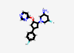 NC1CC(F)CN(C2CC(c3ccc(F)cc3)CC2Oc2ccncn2)C1